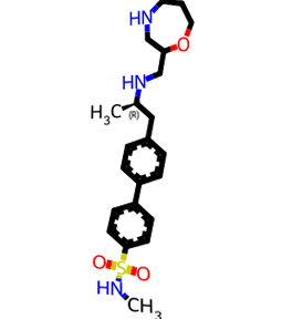 CNS(=O)(=O)c1ccc(-c2ccc(C[C@@H](C)NCC3CNCCCO3)cc2)cc1